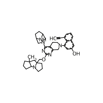 C#Cc1cccc2cc(O)cc(N3CCc4c(nc(OCC56CCCN5C5CCCC5(C)C6)nc4N4CC5CCC(C4)N5)C3)c12